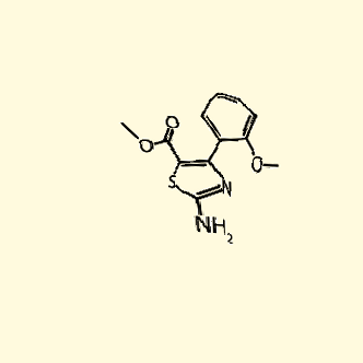 COC(=O)c1sc(N)nc1-c1ccccc1OC